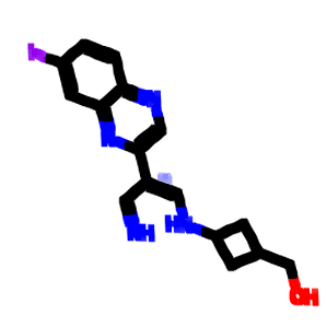 N=C/C(=C\NC1CC(CO)C1)c1cnc2ccc(I)cc2n1